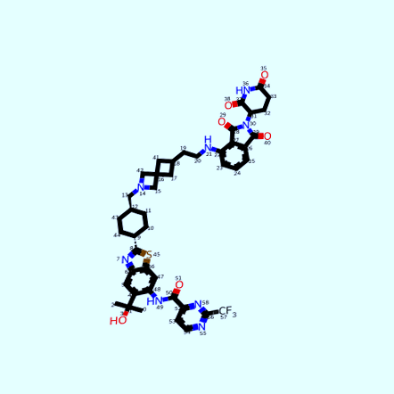 CC(C)(O)c1cc2nc([C@H]3CC[C@H](CN4CC5(CC(CCNc6cccc7c6C(=O)N(C6CCC(=O)NC6=O)C7=O)C5)C4)CC3)sc2cc1NC(=O)c1ccnc(C(F)(F)F)n1